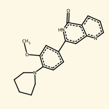 COc1cc(-c2cc3ncccc3c(=O)[nH]2)ccc1N1CCCCC1